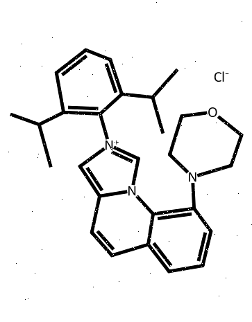 CC(C)c1cccc(C(C)C)c1-[n+]1cc2ccc3cccc(N4CCOCC4)c3n2c1.[Cl-]